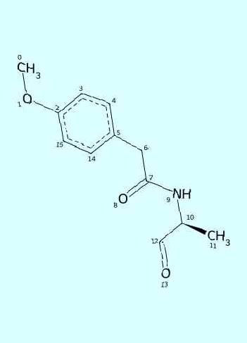 COc1ccc(CC(=O)N[C@@H](C)[C]=O)cc1